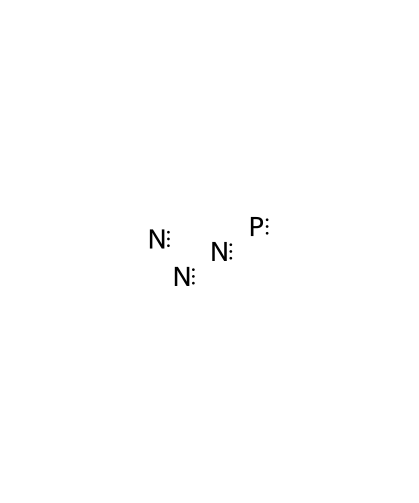 [N].[N].[N].[P]